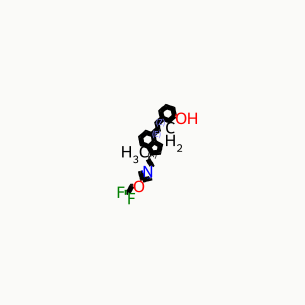 C=C1/C(=C\C=C2/CCCC3(C)C2CC[C@@H]3CCN2CC(OCC(F)F)C2)CCCC1O